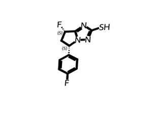 Fc1ccc([C@@H]2C[C@H](F)c3nc(S)nn32)cc1